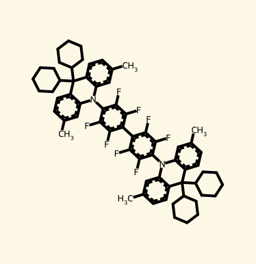 Cc1ccc2c(c1)N(c1c(F)c(F)c(-c3c(F)c(F)c(N4c5cc(C)ccc5C(C5CCCCC5)(C5CCCCC5)c5ccc(C)cc54)c(F)c3F)c(F)c1F)c1cc(C)ccc1C2(C1CCCCC1)C1CCCCC1